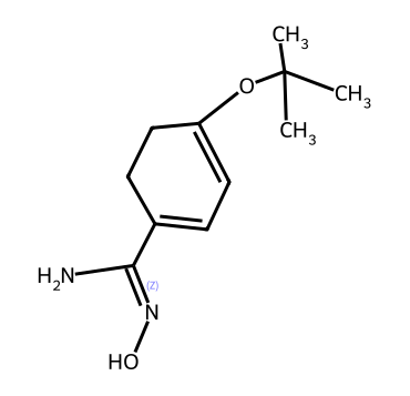 CC(C)(C)OC1=CC=C(/C(N)=N/O)CC1